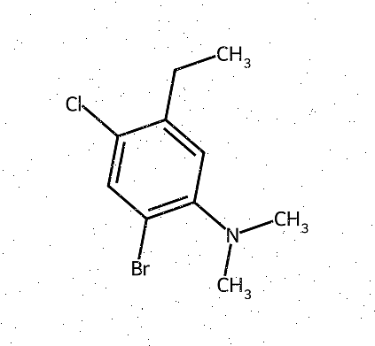 CCc1cc(N(C)C)c(Br)cc1Cl